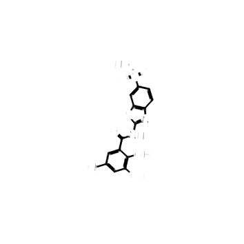 Cc1cc(Cl)cc(C(=O)Nc2nc3ccc(S(C)(=O)=O)cc3s2)c1O